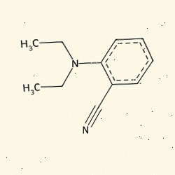 CCN(CC)c1ccc[c]c1C#N